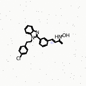 C=C(/C=C/c1cccc(-c2nc3ccccc3n2CCc2ccc(Cl)cc2)c1)NO